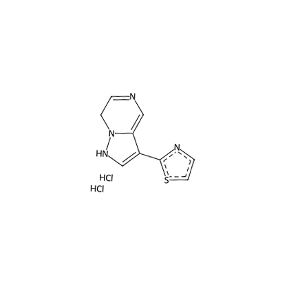 C1=NC=C2C(c3nccs3)=CNN2C1.Cl.Cl